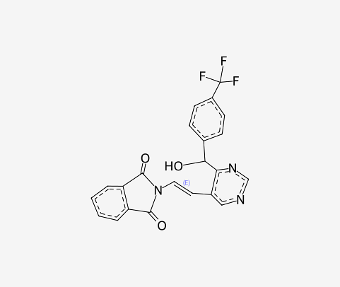 O=C1c2ccccc2C(=O)N1/C=C/c1cncnc1C(O)c1ccc(C(F)(F)F)cc1